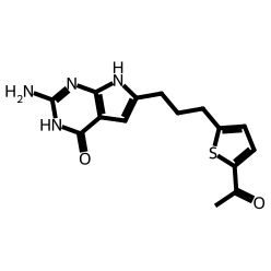 CC(=O)c1ccc(CCCc2cc3c(=O)[nH]c(N)nc3[nH]2)s1